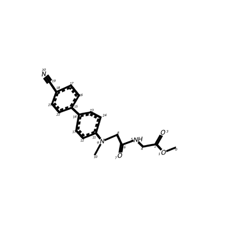 COC(=O)CNC(=O)CN(C)c1ccc(-c2ccc(C#N)cc2)cc1